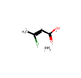 C/C(Cl)=C/C(=O)O.[InH3]